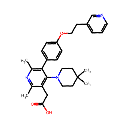 Cc1nc(C)c(-c2ccc(OCCc3cccnc3)cc2)c(N2CCC(C)(C)CC2)c1CC(=O)O